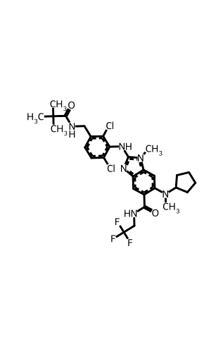 CN(c1cc2c(cc1C(=O)NCC(F)(F)F)nc(Nc1c(Cl)ccc(CNC(=O)C(C)(C)C)c1Cl)n2C)C1CCCC1